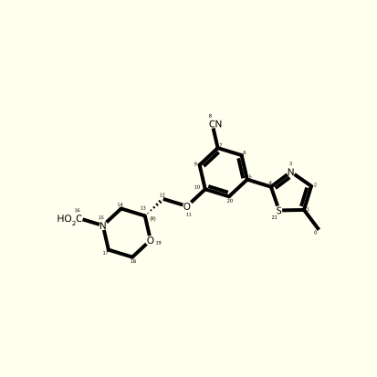 Cc1cnc(-c2cc(C#N)cc(OC[C@H]3CN(C(=O)O)CCO3)c2)s1